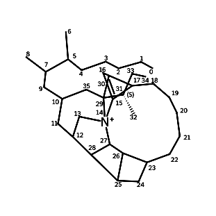 CCCCCC(C)C(C)CC1CC2C[N+]3(C4=CC4CCCCCC4CC5C4C3C25)C(C)([C@@H](C)CC)C1